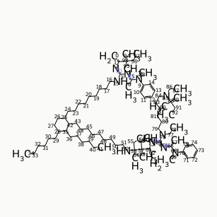 C=C(/N=C(\N=C(/C)N(C)c1ccccc1)NCCCCCCCCCC1CCC(CCCCCC)C(CCCCCC)C1CCCCCCCCCNC(C)(CC)C(C)(CC)C(=C)/N=C(\N=C(/C)N(C)c1ccccc1)N(CC)CCCCCCN(CC)C(C)(C)CC)C(C)(C)CC